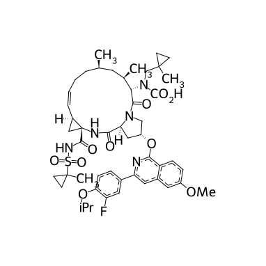 COc1ccc2c(O[C@@H]3C[C@H]4C(=O)N[C@]5(C(=O)NS(=O)(=O)C6(C)CC6)C[C@H]5/C=C\CC[C@@H](C)C[C@@H](C)[C@H](N(CC5(C)CC5)C(=O)O)C(=O)N4C3)nc(-c3ccc(OC(C)C)c(F)c3)cc2c1